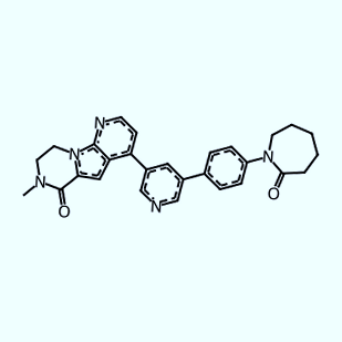 CN1CCn2c(cc3c(-c4cncc(-c5ccc(N6CCCCCC6=O)cc5)c4)ccnc32)C1=O